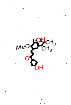 C=C(C)C(C)c1cc(/C=C/C(=O)c2ccc(O)cc2)c(OC)cc1O